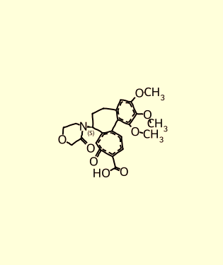 COc1cc2c(c(OC)c1OC)-c1ccc(C(=O)O)c(=O)cc1[C@@H](N1CCOCC1=O)CC2